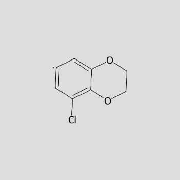 Clc1c[c]cc2c1OCCO2